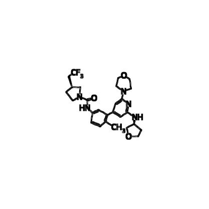 Cc1ccc(NC(=O)N2CC[C@@H](CC(F)(F)F)C2)cc1-c1cc(N[C@H]2CCOC2)nc(N2CCOCC2)c1